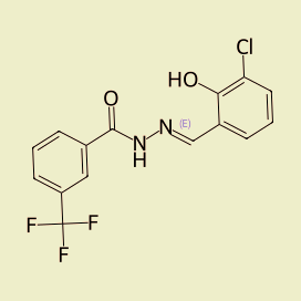 O=C(N/N=C/c1cccc(Cl)c1O)c1cccc(C(F)(F)F)c1